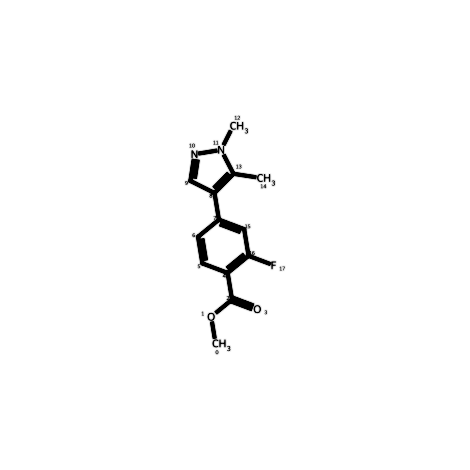 COC(=O)c1ccc(-c2cnn(C)c2C)cc1F